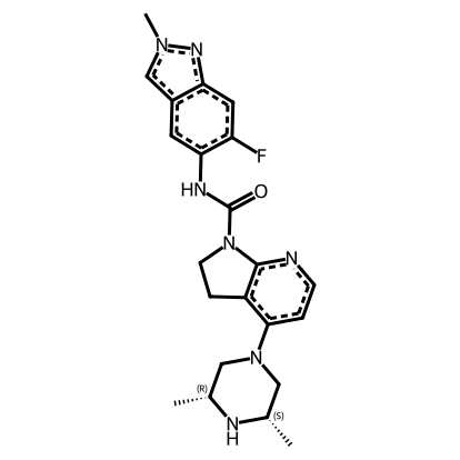 C[C@@H]1CN(c2ccnc3c2CCN3C(=O)Nc2cc3cn(C)nc3cc2F)C[C@H](C)N1